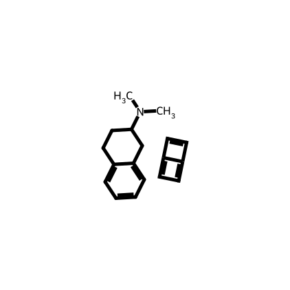 CN(C)C1CCc2ccccc2C1.c1cc2ccc1-2